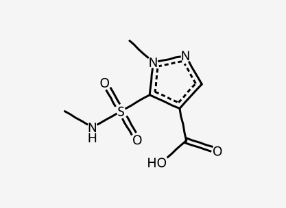 CNS(=O)(=O)c1c(C(=O)O)cnn1C